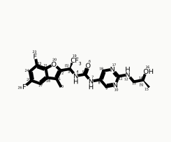 Cc1c([C@H](NC(=O)Nc2cnc(NC[C@H](C)O)nc2)C(F)(F)F)oc2c(F)cc(F)cc12